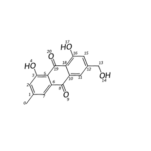 Cc1cc(O)c2c(c1)C(=O)c1cc(CO)cc(O)c1C2=O